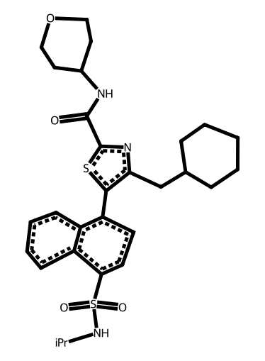 CC(C)NS(=O)(=O)c1ccc(-c2sc(C(=O)NC3CCOCC3)nc2CC2CCCCC2)c2ccccc12